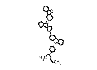 C=C/C(=C\C=C/C)c1ccc(-n2c3ccccc3c3cc(-c4ccc5c(c4)c4ccccc4n5-c4ccc5oc6ccccc6c5c4)ccc32)cc1